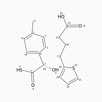 Cc1ccc([C@H](O)C(=O)S)cc1.O=C(O)CCCc1cccs1